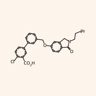 CC(C)CCN1Cc2cc(OCc3cccc(-c4ccc(Cl)c(C(=O)O)c4)c3)ccc2C1=O